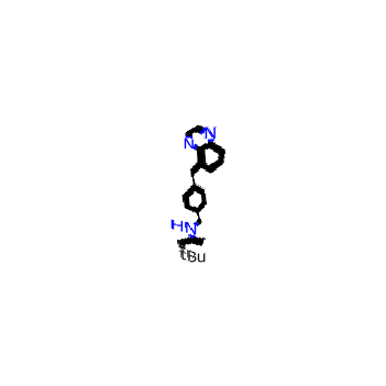 C=C(CC(C)(C)C)NC[C@H]1CC[C@@H](Cc2cccc3nccnc23)CC1